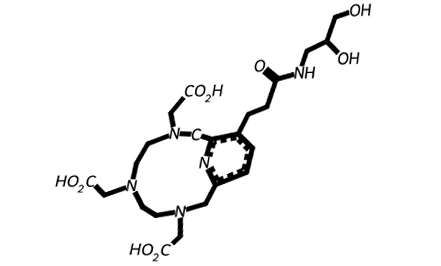 O=C(O)CN1CCN(CC(=O)O)Cc2ccc(CCC(=O)NCC(O)CO)c(n2)CN(CC(=O)O)CC1